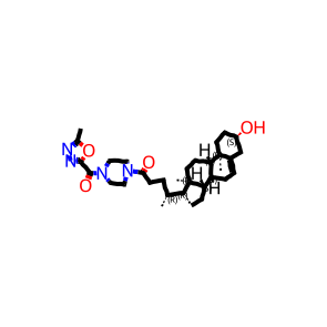 Cc1nnc(C(=O)N2CCN(C(=O)CC[C@@H](C)[C@H]3CC[C@H]4[C@@H]5CC=C6C[C@@H](O)CC[C@]6(C)[C@H]5CC[C@]34C)CC2)o1